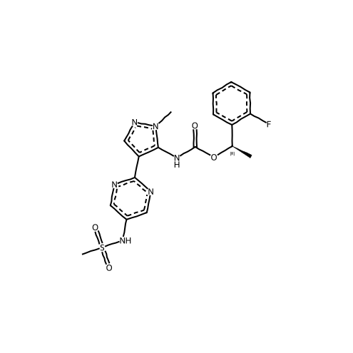 C[C@@H](OC(=O)Nc1c(-c2ncc(NS(C)(=O)=O)cn2)cnn1C)c1ccccc1F